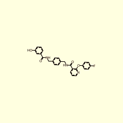 O=C(NCc1ccc(CNC(=O)c2cccnc2Oc2ccc(F)cc2)cc1)c1cccc(O)c1